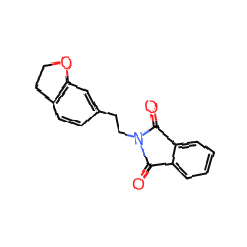 O=C1c2ccccc2C(=O)N1CCc1ccc2c(c1)OCC2